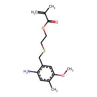 C=C(C)C(=O)OCCSCc1cc(OC)c(C)cc1N